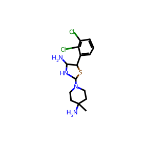 CC1(N)CCN(C2NC(N)C(c3cccc(Cl)c3Cl)S2)CC1